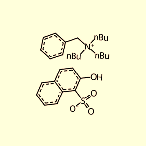 CCCC[N+](CCCC)(CCCC)Cc1ccccc1.O=S(=O)([O-])c1c(O)ccc2ccccc12